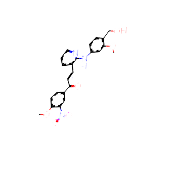 COc1cc(Nc2ncccc2/C=C/C(=O)c2ccc(OC)c([N+](=O)[O-])c2)ccc1CO